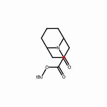 CC(C)(C)OC(=O)CN1C2CCCC1CC(=O)C2